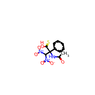 CC(=O)NC(C(O)=S)(c1ccccc1)C([N+](=O)[O-])[N+](=O)[O-]